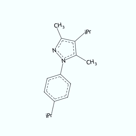 Cc1nn(-c2ccc(C(C)C)cc2)c(C)c1C(C)C